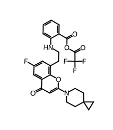 O=C(OC(=O)C(F)(F)F)c1ccccc1NCCc1cc(F)cc2c(=O)cc(N3CCC4(CC3)CC4)oc12